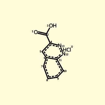 Cl.O=C(O)c1cc2ccccc2nn1